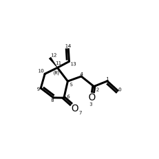 C=CC(=O)CC1C(=O)C=CC[C@]1(C)C=C